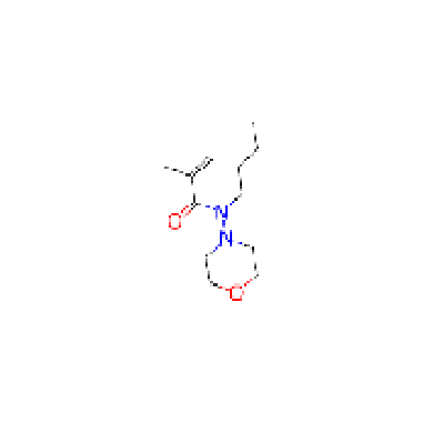 C=C(C)C(=O)N(CCCC)N1CCOCC1